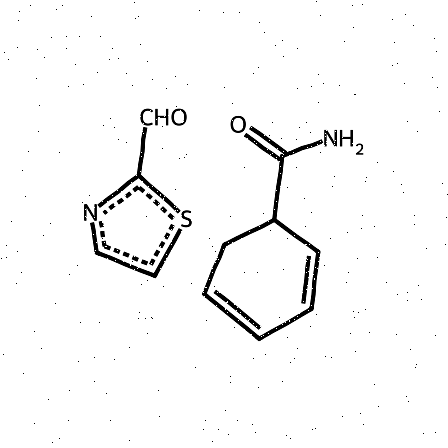 NC(=O)C1C=CC=CC1.O=Cc1nccs1